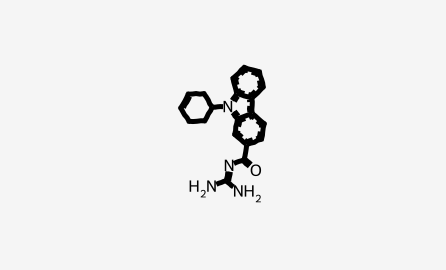 NC(N)=NC(=O)c1ccc2c3ccccc3n(C3CC=CCC3)c2c1